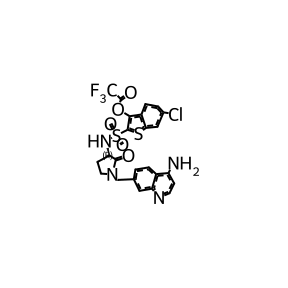 Nc1ccnc2cc(CN3CC[C@@H](NS(=O)(=O)c4sc5cc(Cl)ccc5c4OC(=O)C(F)(F)F)C3=O)ccc12